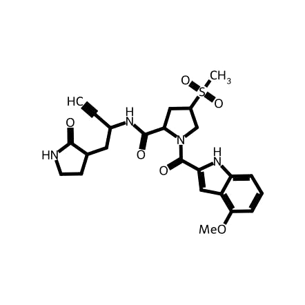 C#CC(CC1CCNC1=O)NC(=O)C1CC(S(C)(=O)=O)CN1C(=O)c1cc2c(OC)cccc2[nH]1